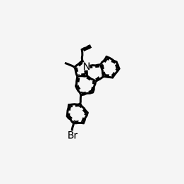 C=Cc1c(C)c2cc(-c3ccc(Br)cc3)cc3c4ccccc4n1c23